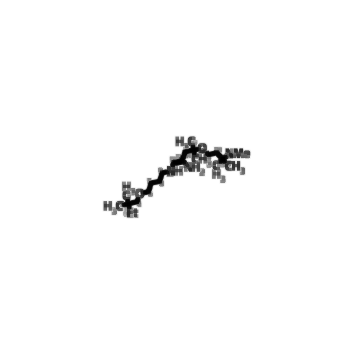 CCC(C)(C)COCCCCN/C=C(\N)CC(C)(C)OCCC(C)(C)NC